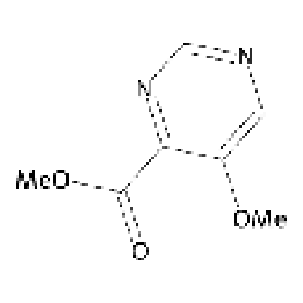 COC(=O)c1ncncc1OC